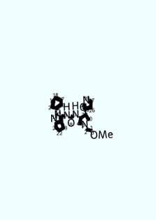 COCCN1C[C@H](NC(=O)Nc2c3c(nn2-c2ccccc2)CCC3)[C@@H](c2ccno2)C1